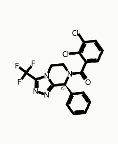 O=C(c1cccc(Cl)c1Cl)N1CCn2c(nnc2C(F)(F)F)[C@@H]1c1ccccc1